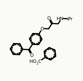 CC(C)NCC(=O)COc1ccc(C(=O)c2ccccc2)cc1.O=C(O)c1ccccc1